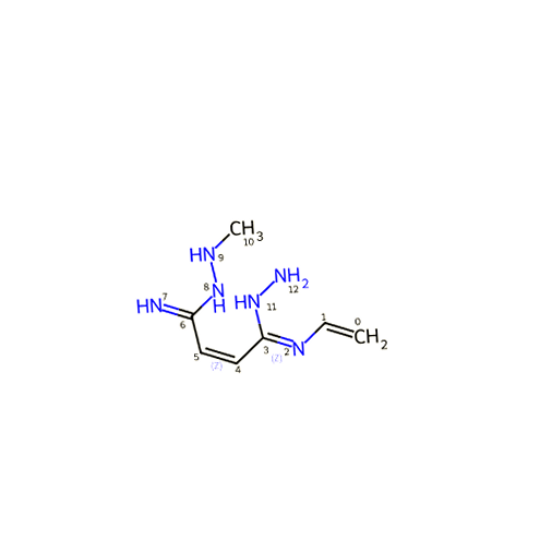 C=C/N=C(/C=C\C(=N)NNC)NN